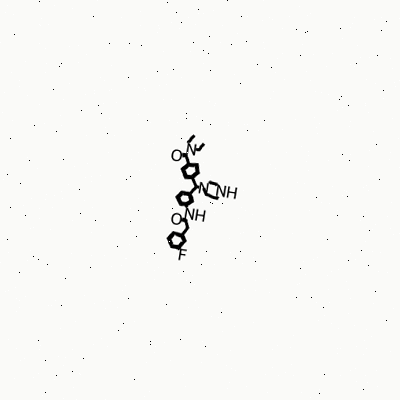 CCN(CC)C(=O)c1ccc(C(c2cccc(NC(=O)Cc3cccc(F)c3)c2)N2CCNCC2)cc1